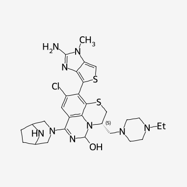 CCN1CCN(C[C@H]2CSc3c(-c4scc5c4nc(N)n5C)c(Cl)cc4c3N2C(O)N=C4N2CC3CCC(C2)N3)CC1